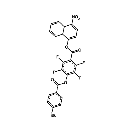 CCC(C)c1ccc(C(=O)Oc2c(F)c(F)c(C(=O)OC3=CC=C([N+](=O)[O-])C4C=CC=CC34)c(F)c2F)cc1